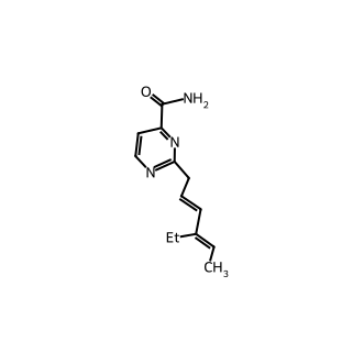 C/C=C(/C=C/Cc1nccc(C(N)=O)n1)CC